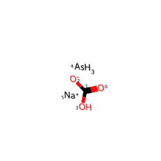 O=C([O-])O.[AsH3].[Na+]